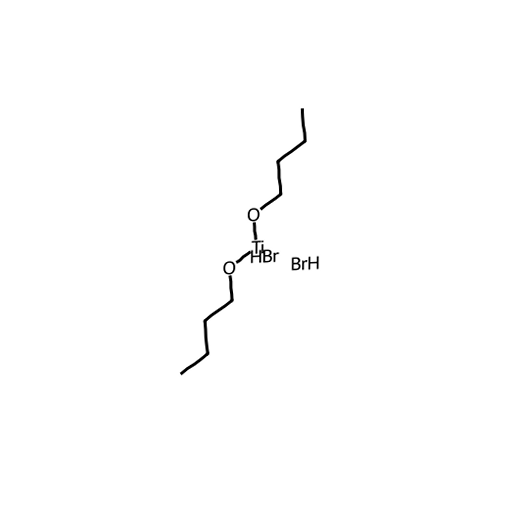 Br.Br.CCCC[O][Ti][O]CCCC